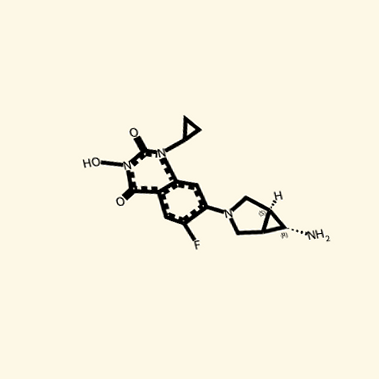 N[C@@H]1C2CN(c3cc4c(cc3F)c(=O)n(O)c(=O)n4C3CC3)C[C@H]21